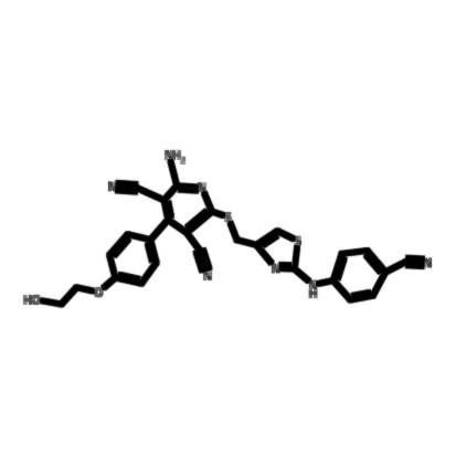 N#Cc1ccc(Nc2nc(CSc3nc(N)c(C#N)c(-c4ccc(OCCO)cc4)c3C#N)cs2)cc1